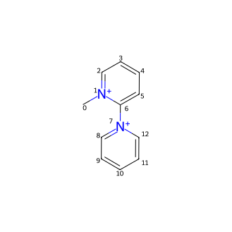 C[n+]1ccccc1-[n+]1ccccc1